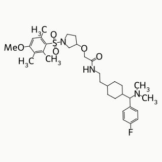 COc1cc(C)c(S(=O)(=O)N2CCC(OCC(=O)NCCC3CCC(C(c4ccc(F)cc4)N(C)C)CC3)C2)c(C)c1C